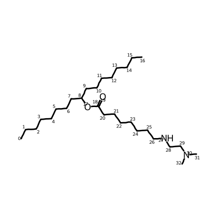 CCCCCCCCC(CCCCCCCC)OC(=O)CCCCCCCNCCN(C)C